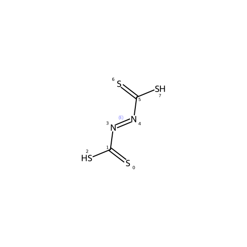 S=C(S)/N=N/C(=S)S